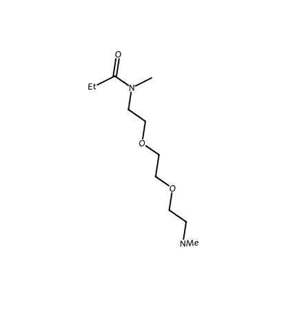 CCC(=O)N(C)CCOCCOCCNC